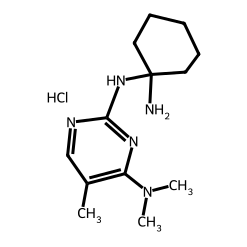 Cc1cnc(NC2(N)CCCCC2)nc1N(C)C.Cl